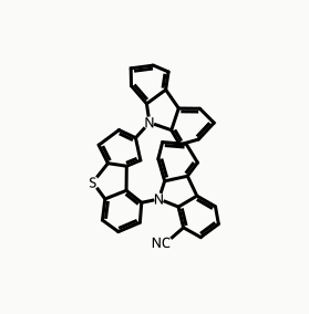 N#Cc1cccc2c3ccccc3n(-c3cccc4sc5ccc(-n6c7ccccc7c7ccccc76)cc5c34)c12